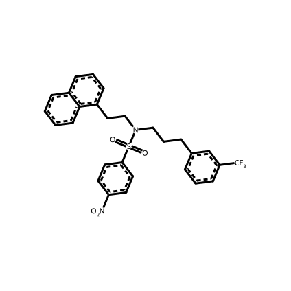 O=[N+]([O-])c1ccc(S(=O)(=O)N(CCCc2cccc(C(F)(F)F)c2)CCc2cccc3ccccc23)cc1